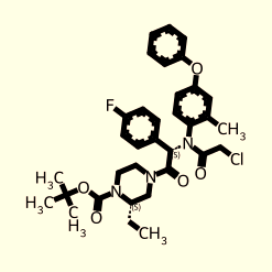 CC[C@H]1CN(C(=O)[C@H](c2ccc(F)cc2)N(C(=O)CCl)c2ccc(Oc3ccccc3)cc2C)CCN1C(=O)OC(C)(C)C